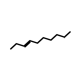 C[CH]CCCCC=CCC